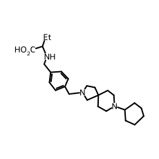 CCC(NCc1ccc(CN2CCC3(CCN(C4CCCCC4)CC3)C2)cc1)C(=O)O